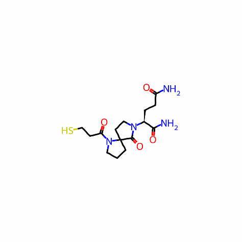 NC(=O)CC[C@@H](C(N)=O)N1CCC2(CCCN2C(=O)CCS)C1=O